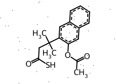 CC(=O)Oc1cc2ccccc2cc1C(C)(C)CC(=O)S